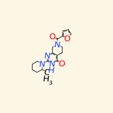 CC1CCCCN1c1nc2c(c(=O)[nH]1)CCN(C(=O)c1ccco1)C2